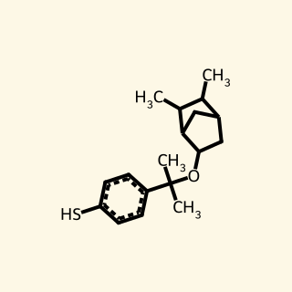 CC1C2CC(OC(C)(C)c3ccc(S)cc3)C(C2)C1C